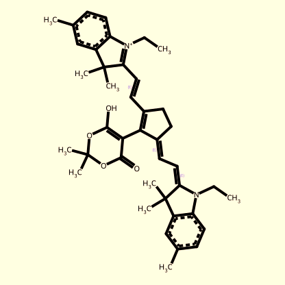 CCN1/C(=C/C=C2\CCC(/C=C/C3=[N+](CC)c4ccc(C)cc4C3(C)C)=C2C2=C(O)OC(C)(C)OC2=O)C(C)(C)c2cc(C)ccc21